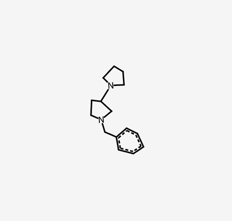 c1ccc(CN2CCC(N3CCCC3)C2)cc1